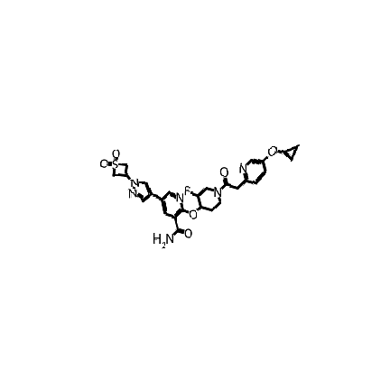 NC(=O)c1cc(-c2cnn(C3CS(=O)(=O)C3)c2)cnc1OC1CCN(C(=O)Cc2ccc(OC3CC3)cn2)CC1F